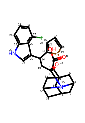 O=C(O)CC12CC3CC(C1)N(C(=O)CC(c1cccs1)c1c[nH]c4cccc(F)c14)C(C3)C2